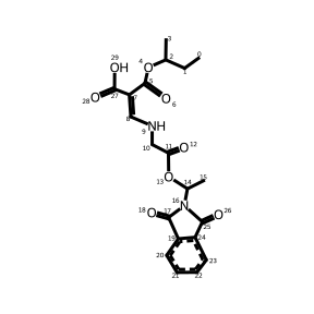 CCC(C)OC(=O)C(=CNCC(=O)OC(C)N1C(=O)c2ccccc2C1=O)C(=O)O